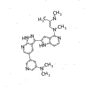 C=N/C(C)=C\N(C)c1nccc2[nH]c(-c3n[nH]c4ncc(-c5cncc(N(C)C)c5)cc34)cc12